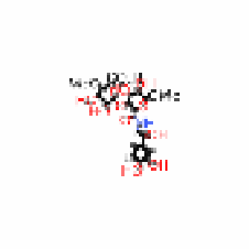 CO[C@@H]1O[C@@H](C(=O)NCC(O)c2ccc(O)c(O)c2)[C@@H](O[C@@H]2OC(C(=O)O)[C@@H](OC)[C@H](O)C2O)C(O)C1O